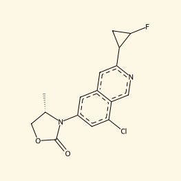 C[C@H]1COC(=O)N1c1cc(Cl)c2cnc(C3CC3F)cc2c1